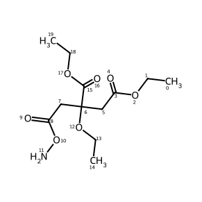 CCOC(=O)CC(CC(=O)ON)(OCC)C(=O)OCC